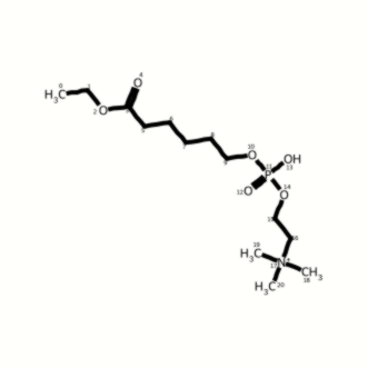 CCOC(=O)CCCCCOP(=O)(O)OCC[N+](C)(C)C